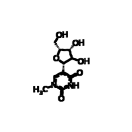 Cn1cc([C@@H]2O[C@H](CO)[C@H](O)C2O)c(=O)[nH]c1=O